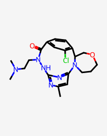 Cc1cc2nc(n1)NN(CCN(C)C)C(=O)c1ccc(c(Cl)c1)C1COCCCN21